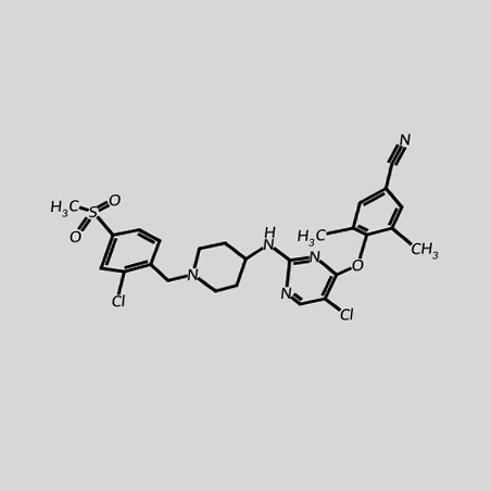 Cc1cc(C#N)cc(C)c1Oc1nc(NC2CCN(Cc3ccc(S(C)(=O)=O)cc3Cl)CC2)ncc1Cl